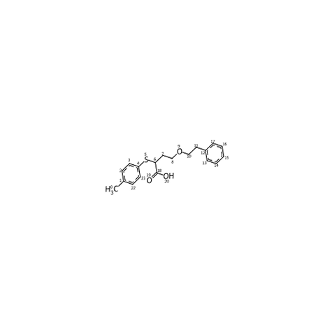 Cc1ccc(SC(CCOCCc2ccccc2)C(=O)O)cc1